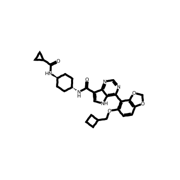 O=C(N[C@H]1CC[C@H](NC(=O)C2CC2)CC1)c1c[nH]c2c(-c3c(OCC4CCC4)ccc4c3OCO4)ncnc12